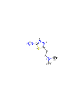 CC(C)N(CCc1nnc(N)s1)C(C)C